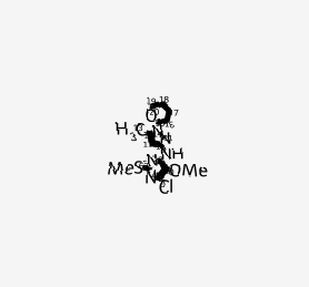 COc1c(Cl)nc(SC)nc1Nc1cc(C)n(C2CCCCO2)n1